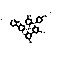 CC(C)(C)c1ccc(N2c3cc(C(C)(C)C)ccc3B3c4c(cc(C(C)(C)C)cc42)-c2cc(C(C)(C)C)cc4c2N3c2cc3sc5ccccc5c3cc2O4)cc1